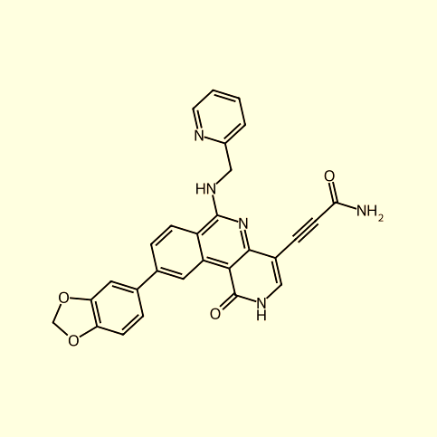 NC(=O)C#Cc1c[nH]c(=O)c2c1nc(NCc1ccccn1)c1ccc(-c3ccc4c(c3)OCO4)cc12